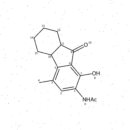 CC(=O)Nc1cc(C)c2c(c1O)C(=O)C1CCCCC21